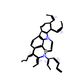 C=C/C=C\C(=C/C)N1B2C=Cn3c4c(c5ccc(c2c53)C(=C/CC)/C1=C\C)C=CC(/C=C\C)C4/C=C\C